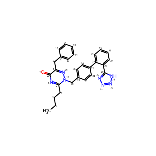 CCCCc1nc(=O)c(Cc2ccccc2)nn1Cc1ccc(-c2ccccc2-c2nnn[nH]2)cc1